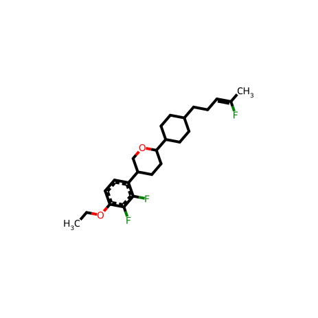 CCOc1ccc(C2CCC(C3CCC(CCC=C(C)F)CC3)OC2)c(F)c1F